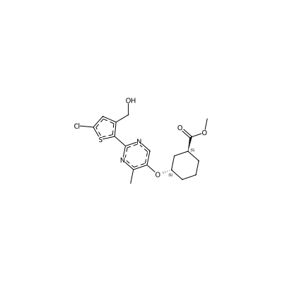 COC(=O)[C@H]1CCC[C@H](Oc2cnc(-c3sc(Cl)cc3CO)nc2C)C1